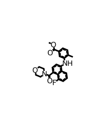 COC(=O)c1ccc(C)c(Nc2ccc(C(=O)N3CCOCC3)c3c(F)cccc23)c1